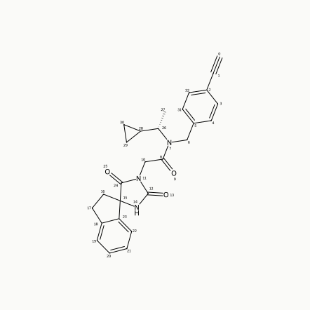 C#Cc1ccc(CN(C(=O)CN2C(=O)NC3(CCc4ccccc43)C2=O)[C@@H](C)C2CC2)cc1